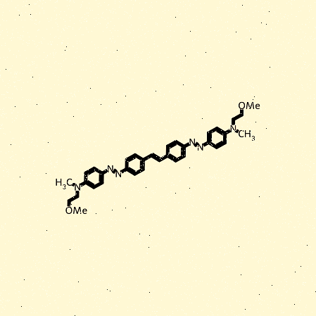 COCCN(C)c1ccc(/N=N/c2ccc(/C=C/c3ccc(/N=N/c4ccc(N(C)CCOC)cc4)cc3)cc2)cc1